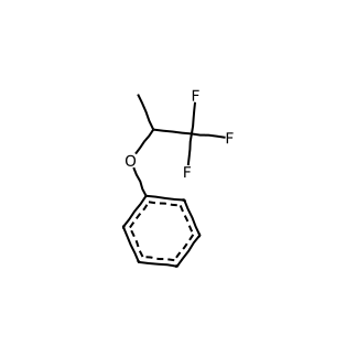 CC(Oc1ccccc1)C(F)(F)F